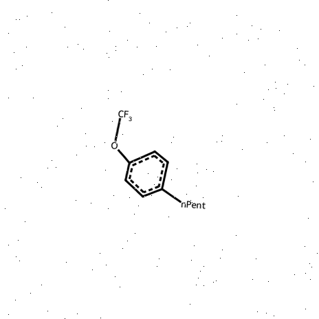 CCCCCc1ccc(OC(F)(F)F)cc1